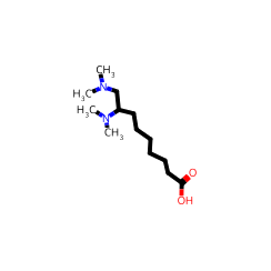 CN(C)CC(CCCCCCC(=O)O)N(C)C